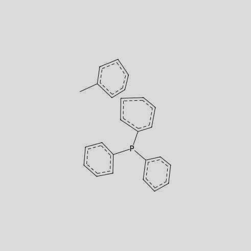 Cc1ccccc1.c1ccc(P(c2ccccc2)c2ccccc2)cc1